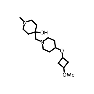 COC1CC(OC2CCN(CC3(O)CCN(C)CC3)CC2)C1